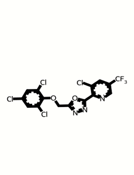 FC(F)(F)c1cnc(-c2nnc(COc3c(Cl)cc(Cl)cc3Cl)o2)c(Cl)c1